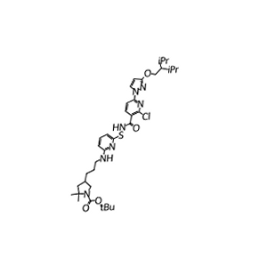 CC(C)C(COc1ccn(-c2ccc(C(=O)NSc3cccc(NCCCC4CN(C(=O)OC(C)(C)C)C(C)(C)C4)n3)c(Cl)n2)n1)C(C)C